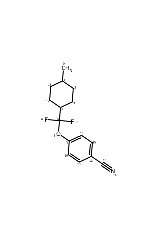 CC1CCC(C(F)(F)Oc2ccc(C#N)cc2)CC1